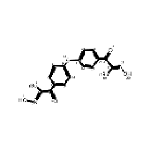 CCCC/C(=N\O)C(=O)c1ccc(Sc2ccc(C(=O)/C(CCCC)=N/O)cc2)cc1